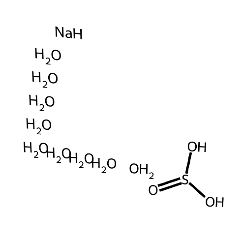 O.O.O.O.O.O.O.O.O.O=S(O)O.[NaH]